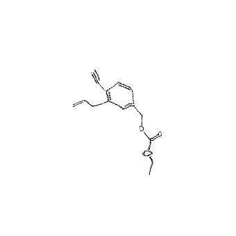 [C]#Cc1ccc(COC(=O)OCC)cc1CC=C